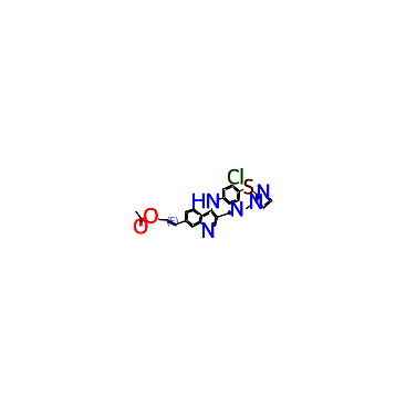 CC(=O)OC/C=C/c1ccc2c(Nc3ccc(Sc4nccn4C)c(Cl)c3)c(C#N)cnc2c1